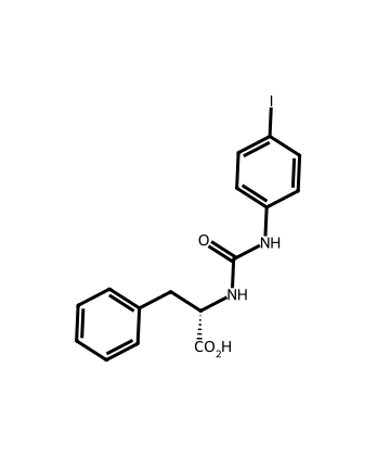 O=C(Nc1ccc(I)cc1)N[C@@H](Cc1ccccc1)C(=O)O